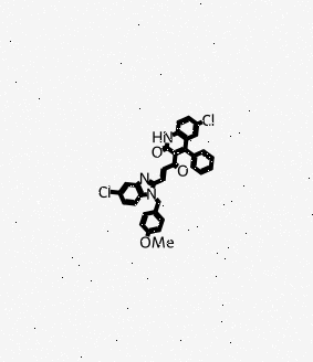 COc1ccc(Cn2c(/C=C/C(=O)c3c(-c4ccccc4)c4cc(Cl)ccc4[nH]c3=O)nc3cc(Cl)ccc32)cc1